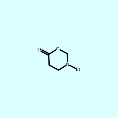 CCN1CCC(=O)OC1